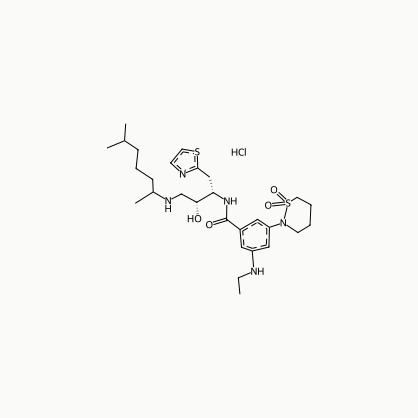 CCNc1cc(C(=O)N[C@@H](Cc2nccs2)[C@H](O)CNC(C)CCCC(C)C)cc(N2CCCCS2(=O)=O)c1.Cl